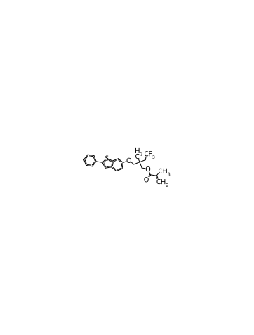 C=C(C)C(=O)OCC(C)(COc1ccc2cc(-c3ccccc3)sc2c1)CC(F)(F)F